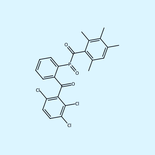 Cc1cc(C)c(C(=O)[P](=O)c2ccccc2C(=O)c2c(Cl)ccc(Cl)c2Cl)c(C)c1C